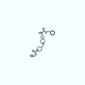 CC(C)(C)OC(=O)N1CCC(CN2CCC3(CC2)CC(NC(=O)OCc2ccccc2)C3)CC1